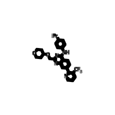 CC(C)c1ccc(Nc2nc(COC3CCOCC3)nc3cc(-c4ncccc4C(F)(F)F)ccc23)cc1